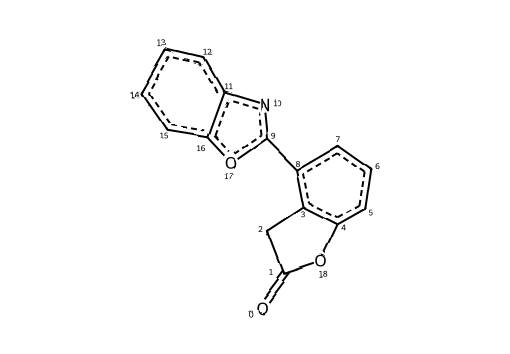 O=C1[CH]c2c(cccc2-c2nc3ccccc3o2)O1